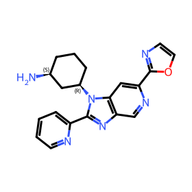 N[C@H]1CCC[C@@H](n2c(-c3ccccn3)nc3cnc(-c4ncco4)cc32)C1